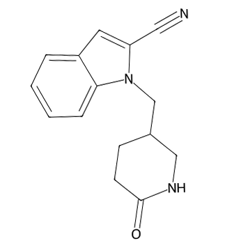 N#Cc1cc2ccccc2n1CC1CCC(=O)NC1